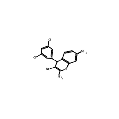 N#CC1=C(N)Oc2cc(N)ccc2C1c1cc(Cl)cc(Cl)c1